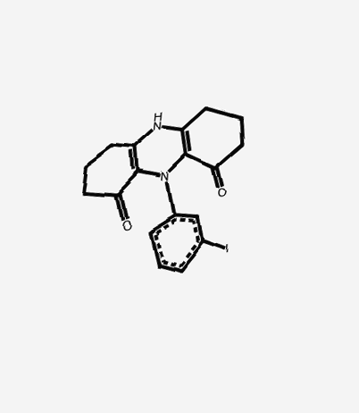 O=C1CCCC2=C1N(c1cccc(I)c1)C1=C(CCCC1=O)N2